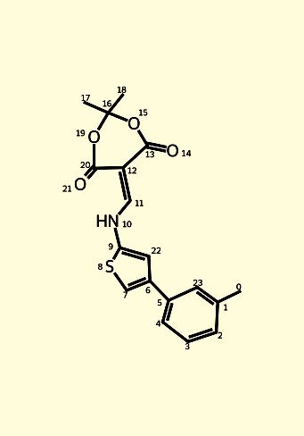 Cc1cccc(-c2csc(NC=C3C(=O)OC(C)(C)OC3=O)c2)c1